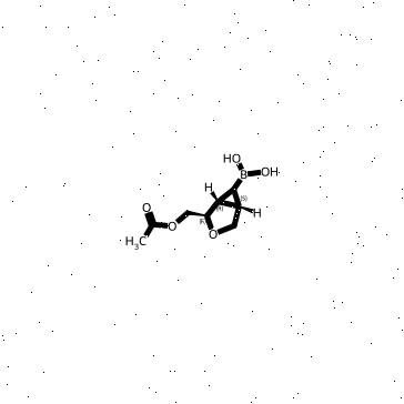 CC(=O)OC[C@@H]1OC[C@H]2C(B(O)O)[C@@H]12